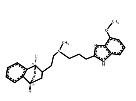 COc1cccc2[nH]c(CCCN(C)CC[C]3C[C@H]4CCC[C@H]3c3ccccc34)nc12